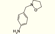 Nc1ccc(CN2CCCO2)cc1